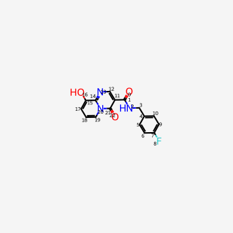 O=C(NCc1ccc(F)cc1)c1cnc2c(O)cccn2c1=O